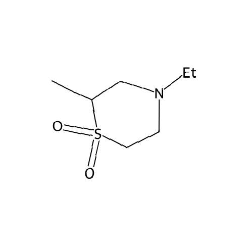 CCN1CCS(=O)(=O)C(C)C1